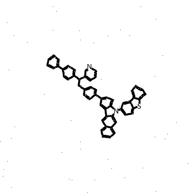 c1ccc(-c2ccc(C(Cc3ccc(-c4ccc5c(c4)c4cc6ccccc6cc4n5-c4ccc5sc6ccccc6c5c4)cc3)c3cccnc3)cc2)cc1